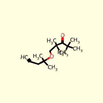 C#CCC(C)(C)OCC(C)(C)C(=O)C(C)(C)C